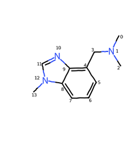 CN(C)Cc1cccc2c1ncn2C